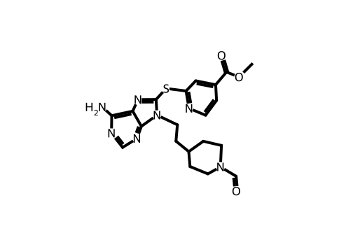 COC(=O)c1ccnc(Sc2nc3c(N)ncnc3n2CCC2CCN(C=O)CC2)c1